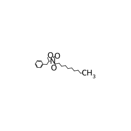 CCCCCCCCCC(=O)N1C(=O)OCC1Cc1ccccc1